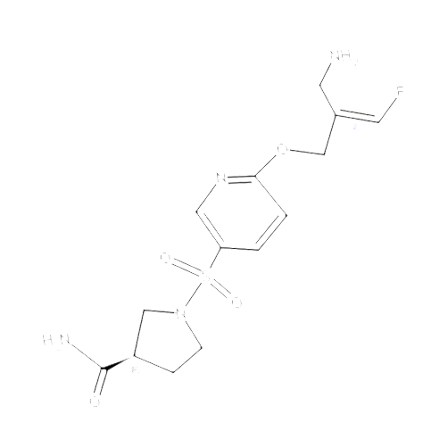 NC/C(=C\F)COc1ccc(S(=O)(=O)N2CC[C@@H](C(N)=O)C2)cn1